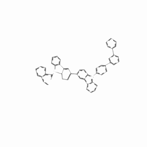 C1=C(c2ccc3c(c2)c2ccccc2n3-c2ccc(-c3cccc(-c4ccccc4)c3)cc2)C=C2c3ccccc3N(c3cccc4ccccc34)C2C1